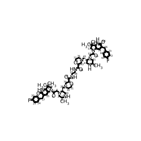 C[C@@H]1CN(CC(=O)N2CC(C)(C)c3[nH]c(=O)c(Cc4ccc(F)cc4)cc32)[C@@H](CN2CCOC(C(=O)NCCNC(=O)C3CN(C[C@H]4CN[C@H](C)CN4CC(=O)N4CC(C)(C)c5[nH]c(=O)c(Cc6ccc(F)cc6)cc54)CCO3)C2)CN1